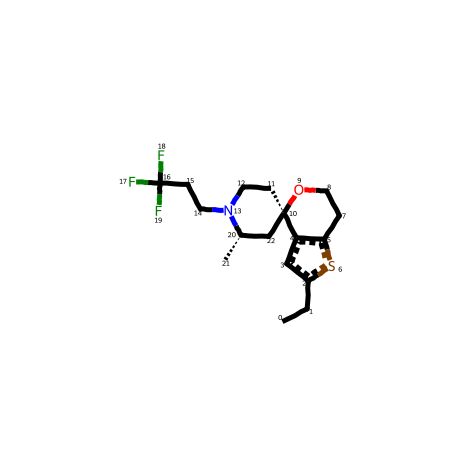 CCc1cc2c(s1)CCO[C@@]21CCN(CCC(F)(F)F)[C@@H](C)C1